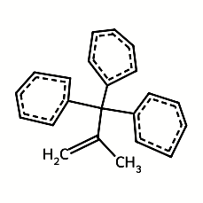 C=C(C)C(c1ccccc1)(c1ccccc1)c1ccccc1